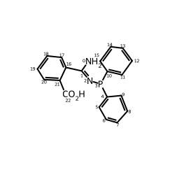 NC(=NP(c1ccccc1)c1ccccc1)c1ccccc1C(=O)O